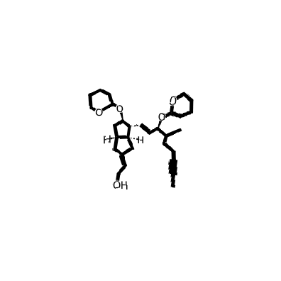 CC#CCCC(C)[C@@H](C=C[C@@H]1[C@H]2CC(=CCO)C[C@H]2C[C@H]1OC1CCCCO1)OC1CCCCO1